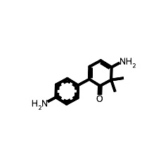 CC1(C)C(=O)C(c2ccc(N)cc2)=CC=C1N